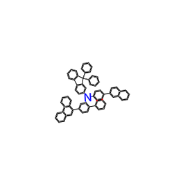 c1ccc(-c2ccc(-c3cc4ccccc4c4ccccc34)cc2N(c2ccc(-c3ccc4ccccc4c3)cc2)c2ccc3c(c2)C(c2ccccc2)(c2ccccc2)c2ccccc2-3)cc1